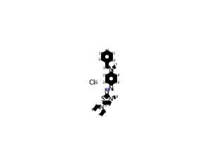 CCN(CC)c1c[n+](C)c(/N=N/c2ccc(N(C)Cc3ccccc3)cc2)s1.[Cl-]